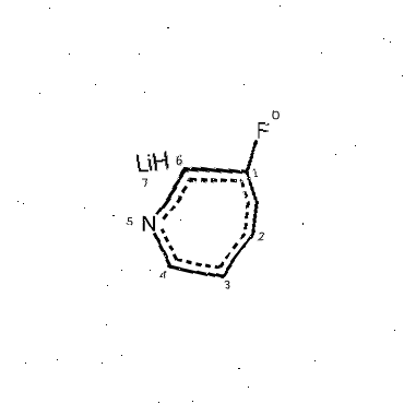 Fc1cccnc1.[LiH]